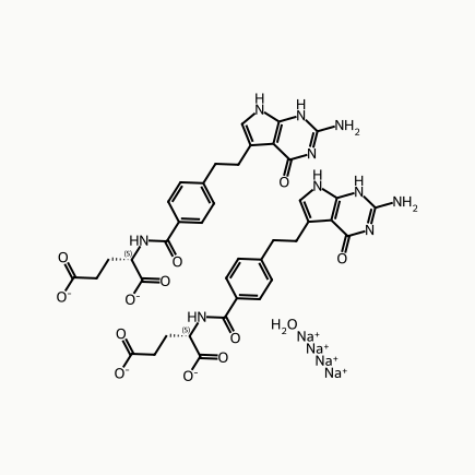 Nc1nc(=O)c2c(CCc3ccc(C(=O)N[C@@H](CCC(=O)[O-])C(=O)[O-])cc3)c[nH]c2[nH]1.Nc1nc(=O)c2c(CCc3ccc(C(=O)N[C@@H](CCC(=O)[O-])C(=O)[O-])cc3)c[nH]c2[nH]1.O.[Na+].[Na+].[Na+].[Na+]